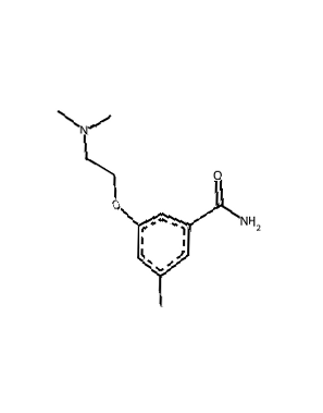 Cc1cc(OCCN(C)C)cc(C(N)=O)c1